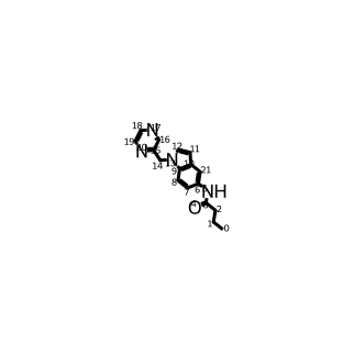 CCCC(=O)Nc1ccc2c(ccn2Cc2cnccn2)c1